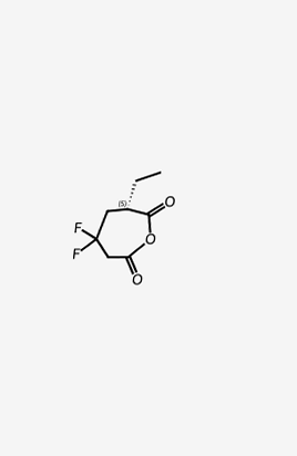 CC[C@H]1CC(F)(F)CC(=O)OC1=O